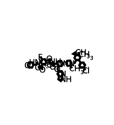 CC1CN(c2ccc(C(=O)NS(=O)(=O)c3cc(F)c(NCC4CCOCC4)c([N+](=O)[O-])c3)c(Oc3cnc4[nH]ccc4c3)c2)CCN1CC1=C(c2ccc(Cl)cc2)CC(C)(C)C2(CC2)C1